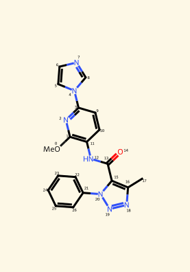 COc1nc(-n2ccnc2)ccc1NC(=O)c1c(C)nnn1-c1ccccc1